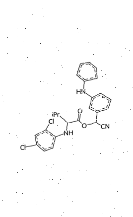 CC(C)C(Nc1ccc(Cl)cc1Cl)C(=O)OC(C#N)c1cccc(Nc2ccccc2)c1